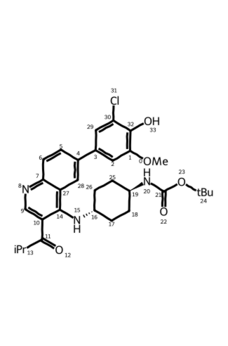 COc1cc(-c2ccc3ncc(C(=O)C(C)C)c(N[C@H]4CC[C@H](NC(=O)OC(C)(C)C)CC4)c3c2)cc(Cl)c1O